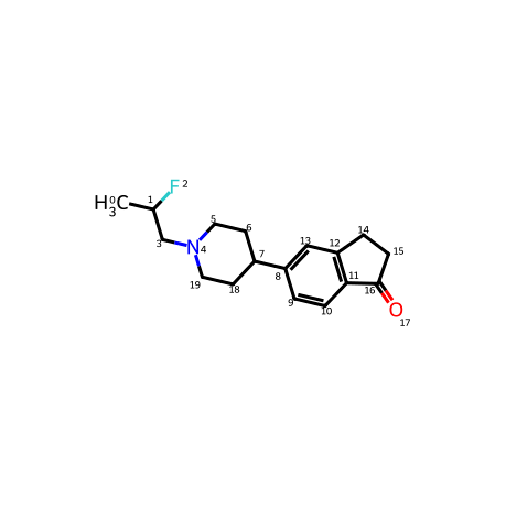 CC(F)CN1CCC(c2ccc3c(c2)CCC3=O)CC1